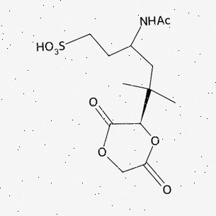 CC(=O)NC(CCS(=O)(=O)O)CC(C)(C)[C@H]1OC(=O)COC1=O